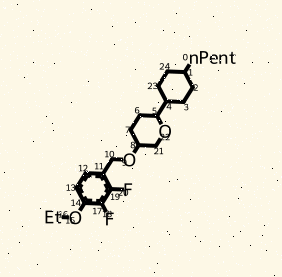 CCCCCC1CCC(C2CCC(OCc3ccc(OCC)c(F)c3F)CO2)CC1